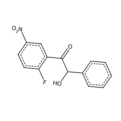 O=C(c1cc([N+](=O)[O-])ccc1F)C(O)c1ccccc1